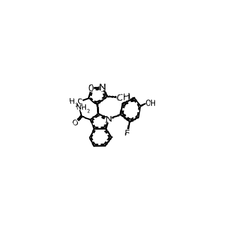 Cc1noc(C)c1-c1c(C(N)=O)c2ccccc2n1-c1ccc(O)cc1F